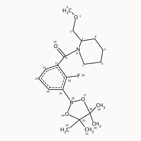 COCC1CCCCN1C(=O)c1cccc(B2OC(C)(C)C(C)(C)O2)c1F